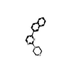 c1ccc2cc(-c3ccnc(N4CCOCC4)n3)ccc2c1